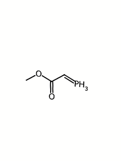 COC(=O)C=[PH3]